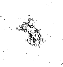 CCOC(=O)C(C)(C)Oc1ccc(CCCC(=O)NN(Cc2ccc(C(C)(C)C)cc2)C(=O)NC)cc1.CCOC(=O)C(C)(C)Oc1ccc(CCCc2nn(Cc3ccc(C(C)(C)C)cc3)c(=O)n2C)cc1